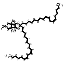 CCCCC/C=C\C/C=C\CCCCCCCCC1(CCCCCCCC/C=C\C/C=C\CCCCC)O[C@@H]2[C@H]3CN(C)C[C@H]3[C@@H]2O1